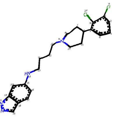 Clc1cccc(C2CCN(CCCCNc3ccc4cn[nH]c4c3)CC2)c1Cl